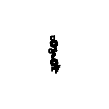 [O-][S+](/C=C/c1ccc(C(F)(F)F)cc1)Cc1ccc(Cl)cc1